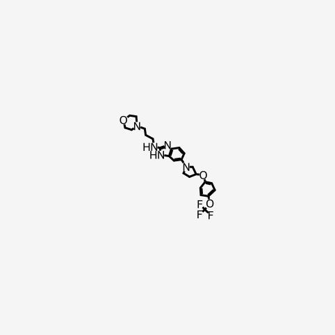 FC(F)(F)Oc1ccc(OC2CCN(c3ccc4nc(NCCCN5CCOCC5)[nH]c4c3)C2)cc1